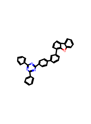 c1ccc(-c2nc(-c3ccccc3)nc(-c3ccc(-c4cccc(-c5cccc6c5oc5ccccc56)c4)cc3)n2)cc1